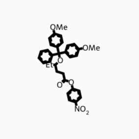 CCC(CCC(=O)Oc1ccc([N+](=O)[O-])cc1)OC(c1ccccc1)(c1ccc(OC)cc1)c1ccc(OC)cc1